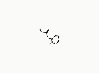 CCC(=O)Oc1cccnc1C